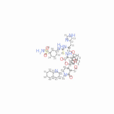 CC[C@@]1(OC(=O)[C@@H](NC(=O)[C@H](Cc2c[nH]cn2)NC(=S)Nc2cccc(S(N)(=O)=O)c2)C(C)C)C(=O)OCc2c1cc1n(c2=O)Cc2cc3ccccc3nc2-1